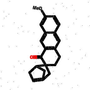 COc1ccc2cc3c(cc2c1)C(=O)C1(CC3)CC2=CCC1C2